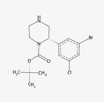 CC(C)(C)OC(=O)N1CCNC[C@@H]1c1cc(Cl)cc(Br)c1